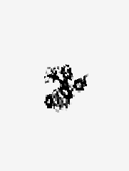 COC(=O)C12CC(c3c(C4CCOCC4)n(-c4ccc(F)cc4)c4cc5cnn(S(=O)(=O)c6ccccc6)c5cc34)(C1)C2